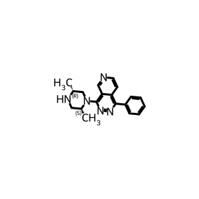 C[C@@H]1CN(c2nnc(-c3ccccc3)c3ccncc23)[C@@H](C)CN1